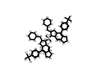 CC(C)(C)c1ccc(C2=C3CCCC3=CC3C2CC(CC2CCCCC2)C3S(C)(C)C2C(CC3CCCCC3)CC3C(c4ccc(C(C)(C)C)cc4)=C4CCCC4=CC32)cc1